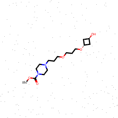 CC(C)(C)OC(=O)N1CCN(CCCOCCCO[C@H]2C[C@H](O)C2)CC1